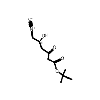 [C-]#[N+]C[C@@H](O)CC(=O)CC(=O)OC(C)(C)C